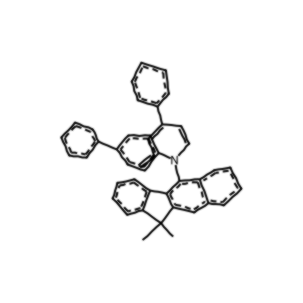 C=C/C=C(\C=C/N(c1ccc(-c2ccccc2)cc1)c1c2c(cc3ccccc13)C(C)(C)c1ccccc1-2)c1ccccc1